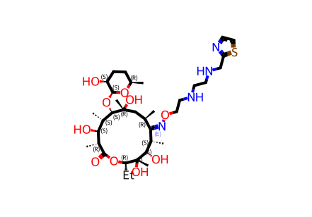 CC[C@H]1OC(=O)[C@H](C)[C@@H](O)[C@H](C)[C@H](O[C@@H]2O[C@H](C)CC[C@@H]2O)[C@](C)(O)C[C@@H](C)/C(=N\OCCNCCNCc2nccs2)[C@H](C)[C@H](O)[C@]1(C)O